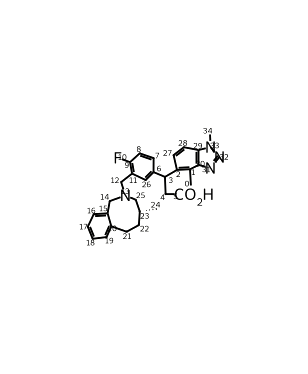 Cc1c(C(CC(=O)O)c2ccc(F)c(CN3Cc4ccccc4CC[C@@H](C)C3)c2)ccc2c1nnn2C